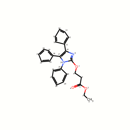 CCOC(=O)CCOc1nc(-c2ccccc2)c(-c2ccccc2)n1-c1ccccc1